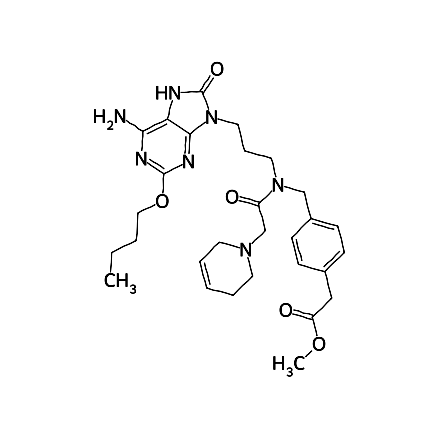 CCCCOc1nc(N)c2[nH]c(=O)n(CCCN(Cc3ccc(CC(=O)OC)cc3)C(=O)CN3CC=CCC3)c2n1